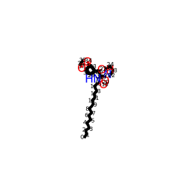 CCCCCCCCCCCCCCCC(=O)N[C@H](C(=O)N1CCCC1)[C@H](O)c1ccc2c(c1)OCCO2